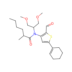 CCCCC(C)C(=O)N(c1cc(C2=CCCCC2)sc1C=O)C(COC)COC